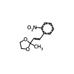 CC1(C=Cc2ccccc2[N+](=O)[O-])OCCO1